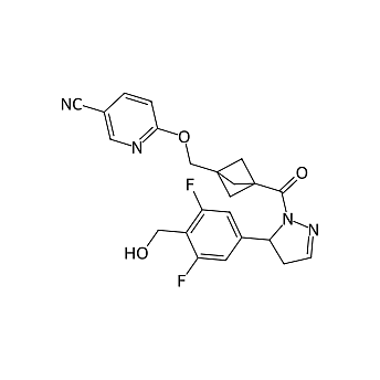 N#Cc1ccc(OCC23CC(C(=O)N4N=CCC4c4cc(F)c(CO)c(F)c4)(C2)C3)nc1